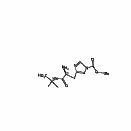 CC(C)(C)OC(=O)n1cnc(C[C@H](N)C(=O)NC(C)(C)C(=O)O)c1